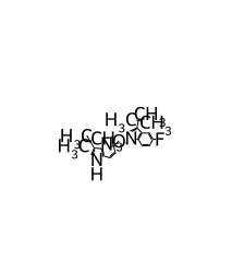 CC(C)(C)c1cn(COc2ccc3[nH]cc(C(C)(C)C)c3n2)c2ccc(F)cc12